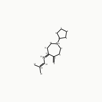 C=C1CCN(C2CCCC2)CC/C1=N/C=C(C)C